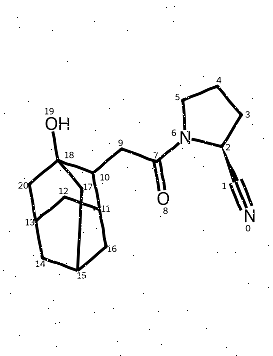 N#C[C@@H]1CCCN1C(=O)CC1[C]2CC3CC(C2)CC1(O)C3